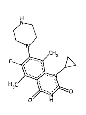 Cc1c(F)c(N2CCNCC2)c(C)c2c1c(=O)[nH]c(=O)n2C1CC1